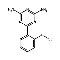 CCOc1ccccc1-c1nc(N)nc(N)n1